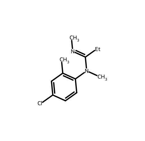 CCC(=NC)N(C)c1ccc(Cl)cc1C